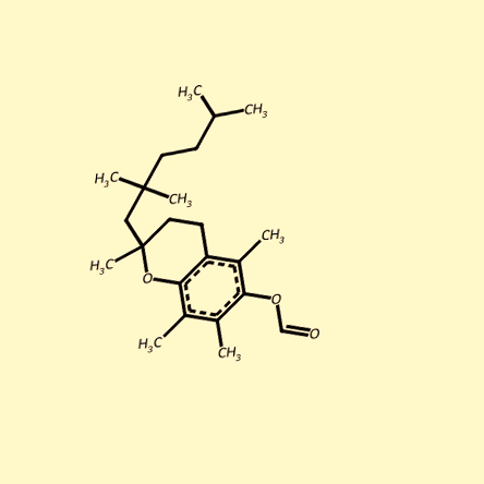 Cc1c(C)c2c(c(C)c1OC=O)CCC(C)(CC(C)(C)CCC(C)C)O2